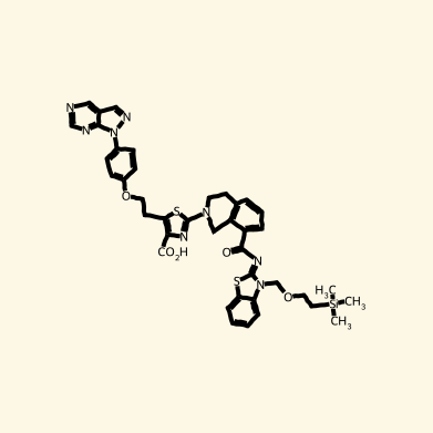 C[Si](C)(C)CCOCn1c(=NC(=O)c2cccc3c2CN(c2nc(C(=O)O)c(CCOc4ccc(-n5ncc6cncnc65)cc4)s2)CC3)sc2ccccc21